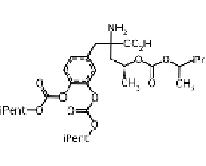 CCCC(C)OC(=O)Oc1ccc(CC(N)(C[C@H](C)OC(=O)OC(C)C(C)C)C(=O)O)cc1OC(=O)OC(C)CCC